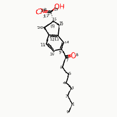 CCCCCCCC(=O)c1ccc2c(c1)C[C@@H](C(=O)O)C2